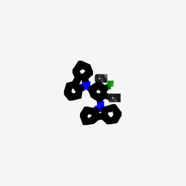 N#Cc1c(-n2c3ccccc3c3ccccc32)cc(-n2c3ccccc3c3ccccc32)c(C#N)c1F